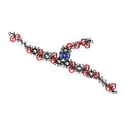 C=CC(=O)OCCCCCCOc1ccc(OC(=O)C2CCC(C(=O)Oc3ccc4c5ccc(OC(=O)C6CCC(C(=O)OC7=CCC(OCCCCCCOC(=O)C=C)C=C7)CC6)cc5c5nc6cc(OCCOCCOC(=O)C=C)ccc6nc5c4c3)CC2)cc1